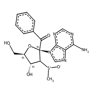 C[S+]([O-])C1[C@H](O)[C@@H](CO)O[C@@]1(C(=O)c1ccccc1)n1cnc2c(N)ncnc21